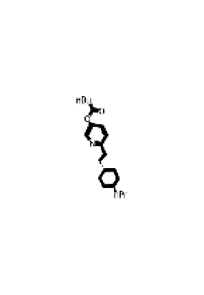 CCCCC(=O)Oc1ccc(CC[C@H]2CC[C@H](CCC)CC2)nc1